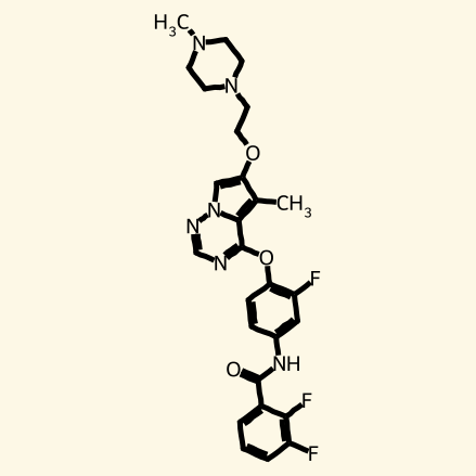 Cc1c(OCCN2CCN(C)CC2)cn2ncnc(Oc3ccc(NC(=O)c4cccc(F)c4F)cc3F)c12